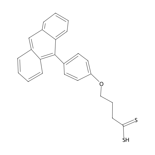 S=C(S)CCCOc1ccc(-c2c3ccccc3cc3ccccc23)cc1